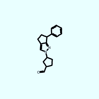 O=CC1CCC(n2cc3c(n2)C(c2ccccc2)CC3)C1